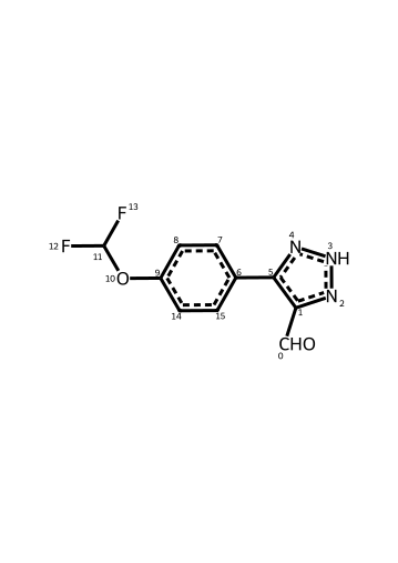 O=Cc1n[nH]nc1-c1ccc(OC(F)F)cc1